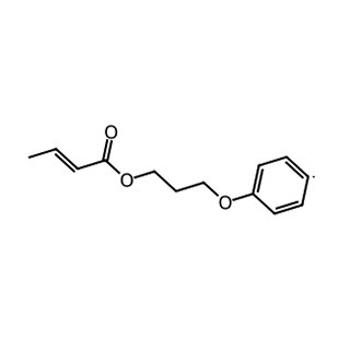 CC=CC(=O)OCCCOc1cc[c]cc1